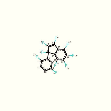 FC1=C(F)C(F)(c2cc(F)[c]cc2F)c2c(F)c(F)c(F)c(F)c21